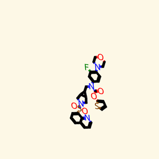 O=C(Oc1cccs1)N(CC1C2CN(S(=O)(=O)c3cccc4cccnc34)CC12)c1ccc(N2CCOCC2)c(F)c1